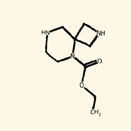 CCOC(=O)N1CCNCC12CNC2